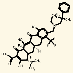 CCN(Cc1cc(O)c2c(c1C(F)(F)F)C[C@H]1C[C@H]3[C@H](N(C)C)C(O)=C(C(N)=O)C(=O)[C@@]3(O)C(O)=C1C2=O)CC(C)(C)c1ccccc1